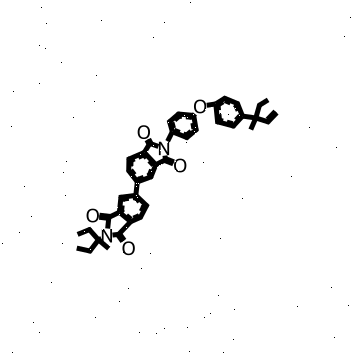 C=CC(C)(CC)c1ccc(Oc2ccc(N3C(=O)c4ccc(-c5ccc6c(c5)C(=O)N(C(C)(CC)CC)C6=O)cc4C3=O)cc2)cc1